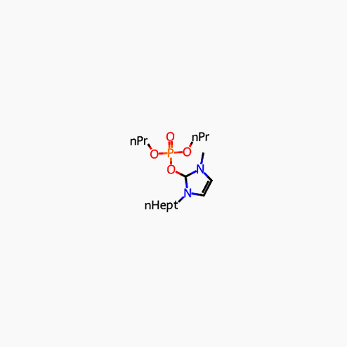 CCCCCCCN1C=CN(C)C1OP(=O)(OCCC)OCCC